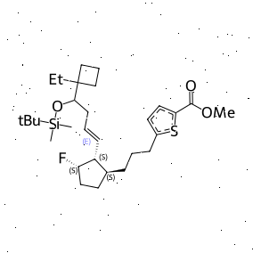 CCC1(C(C/C=C/[C@@H]2[C@@H](CCCc3ccc(C(=O)OC)s3)CC[C@@H]2F)O[Si](C)(C)C(C)(C)C)CCC1